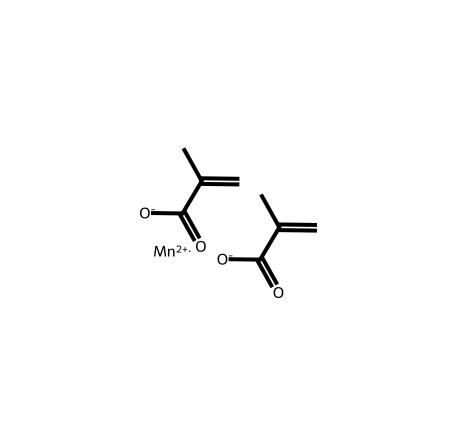 C=C(C)C(=O)[O-].C=C(C)C(=O)[O-].[Mn+2]